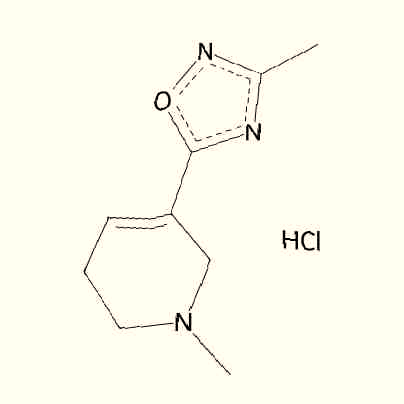 Cc1noc(C2=CCCN(C)C2)n1.Cl